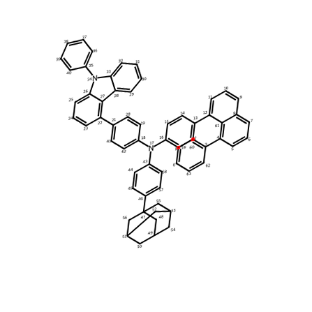 c1ccc(-c2cccc3cccc(-c4ccc(N(c5ccc(-c6cccc7c6c6ccccc6n7-c6ccccc6)cc5)c5ccc(C67CC8CC(CC(C8)C6)C7)cc5)cc4)c23)cc1